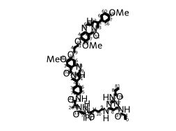 C=CC(=O)Nc1cc(NCCCC(=O)N[C@H](C(=O)N[C@@H](C)C(=O)Nc2ccc(C3=CN4C(=O)c5cc(OC)c(OCCCOc6cc7c(cc6OC)C(=O)N6C=C(c8ccc(OC)cc8)C[C@H]6C=N7)cc5N=C[C@@H]4C3)cc2)C(C)C)nc(NC(=O)C=C)n1